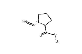 CC(C)(C)OC(=O)N1CCC[C@H]1C=N